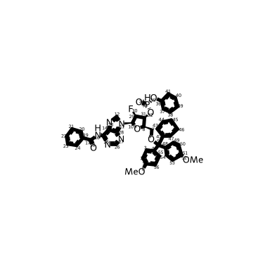 COc1ccc(C(OC[C@H]2O[C@@H](n3cnc4c(NC(=O)c5ccccc5)ncnc43)[C@@H](F)[C@H]2O[PH](=O)Oc2ccccc2)(c2ccccc2)c2ccc(OC)cc2)cc1